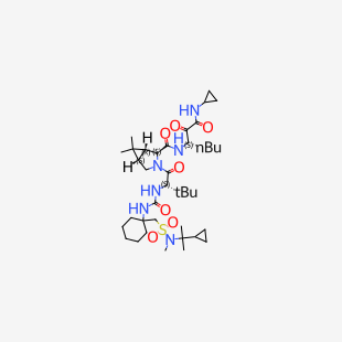 CCCC[C@H](NC(=O)[C@@H]1[C@@H]2[C@H](CN1C(=O)[C@@H](NC(=O)NC1(CS(=O)(=O)N(C)C(C)(C)C3CC3)CCCCC1)C(C)(C)C)C2(C)C)C(=O)C(=O)NC1CC1